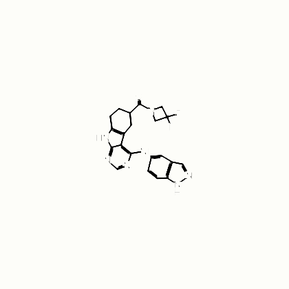 O=C(C1CCc2[nH]c3ncnc(Nc4ccc5[nH]ncc5c4)c3c2C1)N1CC(F)(F)C1